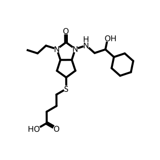 CCCN1C(=O)N(NCC(O)C2CCCCC2)C2CC(SCCCC(=O)O)CC21